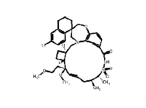 COCC[C@]1(OC)/C=C/C[C@H](C)[C@@H](C)S(=O)(=O)NC(=O)c2ccc3c(c2)N(C[C@@H]2CC[C@H]21)C[C@@]1(CCCc2cc(Cl)ccc21)CO3